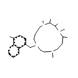 CC(C)(C)C1C(C(C)(C)C)N(C(=O)O)C(C(C)(C)C)CCN(C(=O)O)CCN(Cc2ccc(O)c3ncccc23)CCCN1C(=O)O